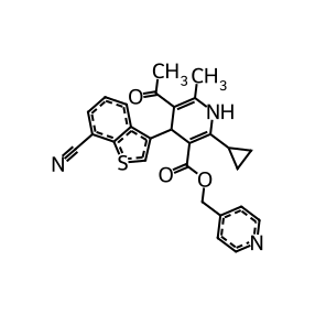 CC(=O)C1=C(C)NC(C2CC2)=C(C(=O)OCc2ccncc2)C1c1csc2c(C#N)cccc12